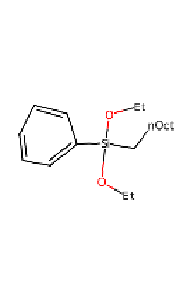 CCCCCCCCC[Si](OCC)(OCC)c1ccccc1